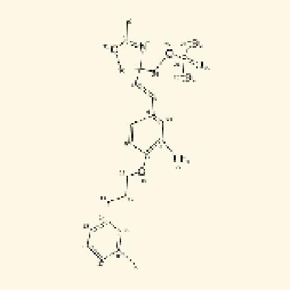 CC1=NC(/C=C/c2ccc(OCCCc3cccc(C)c3)c(C(F)(F)F)c2)(COP(=O)(C(C)(C)C)C(C)(C)C)CO1